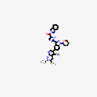 Cc1c(CC(C)NC(=O)O)cncc1-c1ccc2c(c1)c(-c1ncc(C(=O)N3Cc4ccccc4C3)[nH]1)nn2C1CCCCO1